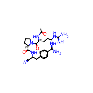 CC(=O)N[C@H](CCCNC(=N)N)C(=O)N1CCC[C@H]1C(=O)NC(C#N)Cc1ccc(C(=N)N)cc1